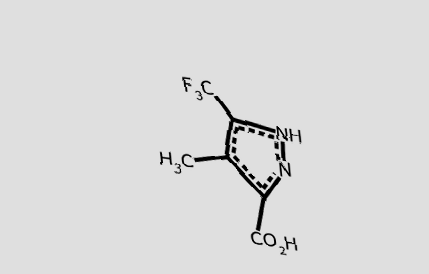 Cc1c(C(=O)O)n[nH]c1C(F)(F)F